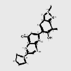 Cc1c(O)c(-c2cc(Cl)c3nc(N4CCCC4)cnc3n2)cc2cn(C)nc12